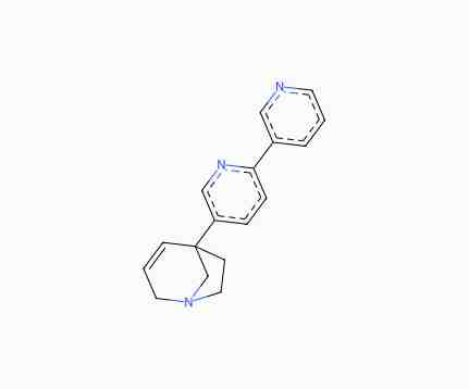 C1=CC2(c3ccc(-c4cccnc4)nc3)CCN(C1)C2